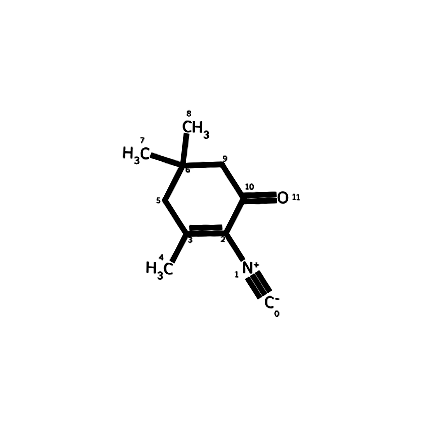 [C-]#[N+]C1=C(C)CC(C)(C)CC1=O